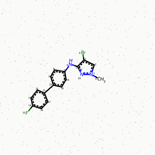 Cn1cc(Br)c(Nc2ccc(-c3ccc(F)cc3)cc2)n1